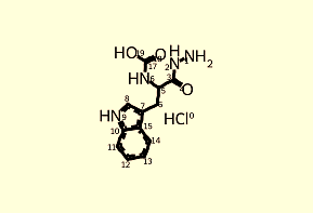 Cl.NNC(=O)C(Cc1c[nH]c2ccccc12)NC(=O)O